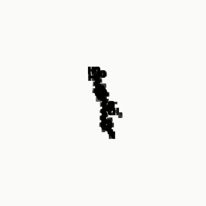 C[S+]([O-])N(CCCc1ccc(C#N)cc1)CCN1CC2CN(CCNC(=O)O)CC(C1)O2